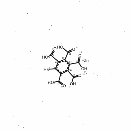 O=C(O)c1c(S)c(C(=O)O)c(C(=O)O)c(C(=O)O)c1C(=O)O.[Zn]